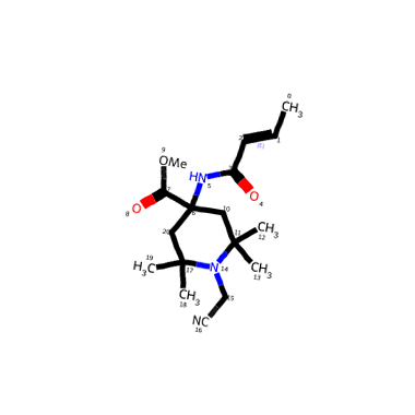 C/C=C/C(=O)NC1(C(=O)OC)CC(C)(C)N(CC#N)C(C)(C)C1